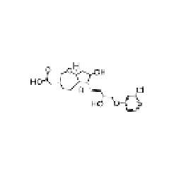 O=C(O)C[C@H]1CC[C@@H]2[C@@H](/C=C/[C@@H](O)COc3cccc(Cl)c3)[C@H](O)C[C@@H]2OC1